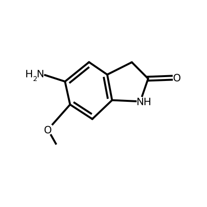 COc1cc2c(cc1N)CC(=O)N2